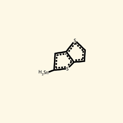 [SnH3][c]1cc2sccc2s1